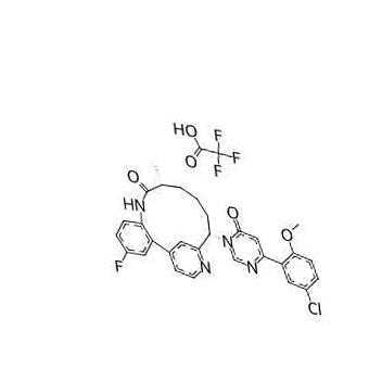 COc1ccc(Cl)cc1-c1cc(=O)n([C@H]2CCC[C@@H](C)C(=O)Nc3ccc(F)cc3-c3ccnc2c3)cn1.O=C(O)C(F)(F)F